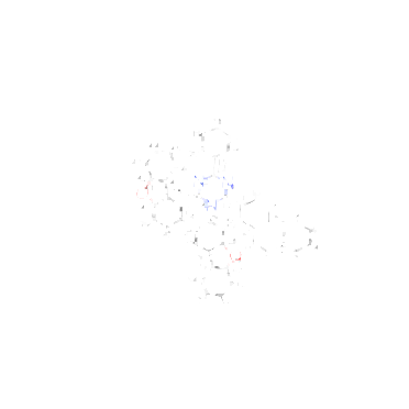 C1=Cc2ccccc2C2CC=C(c3nc(-c4ccccc4)nc(-c4c(-c5ccc6oc7ccccc7c6c5)ccc5oc6ccccc6c45)n3)C=C12